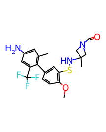 COc1ccc(-c2c(C)cc(N)cc2C(F)(F)F)cc1SNC1(C)CN(C=O)C1